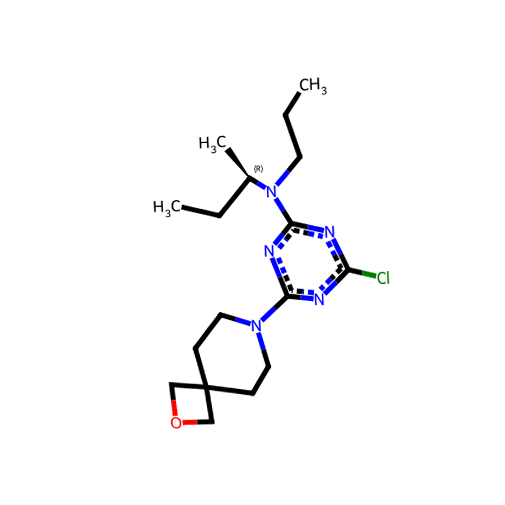 CCCN(c1nc(Cl)nc(N2CCC3(CC2)COC3)n1)[C@H](C)CC